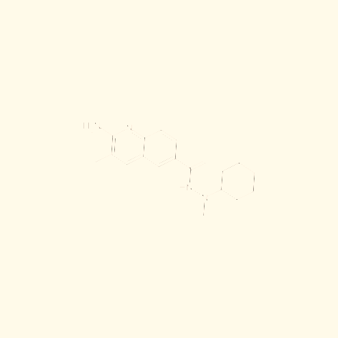 Cc1cc2cc(C(=O)NN(C)C3CCCCC3)ccc2nc1N